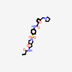 C=CC(=O)NC1CC2CN(S(=O)(=O)c3ccc(NC(=O)c4ccc(CN5CCCC5)o4)cc3)CC2O1